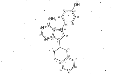 Nc1ncnc2c(C3CCc4ccccc4C3)cn(-c3ccc(O)cc3)c12